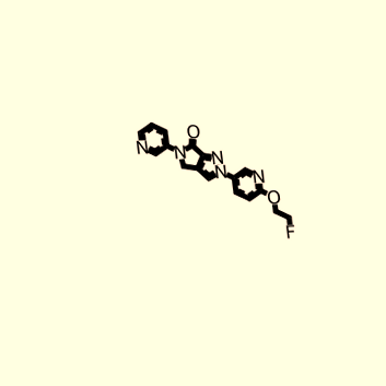 O=C1c2nn(-c3ccc(OCCF)nc3)cc2CN1c1cccnc1